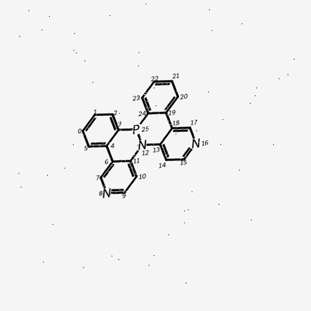 c1ccc2c(c1)-c1cnccc1N1c3ccncc3-c3ccccc3P21